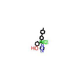 Cc1ccc(-c2ccc(C(CN3CCN(C)CC3)C3CCCC(O)C3)cc2)cc1.Cl.Cl